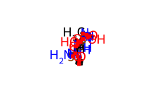 CC1=NC2=CN(C(=O)O)NN2C(SCC2=C(C(=O)O)N3C(=O)[C@@H](NC(=O)C(=NOC(=O)c4ccccc4)c4csc(N)n4)[C@H]3SC2)=C1